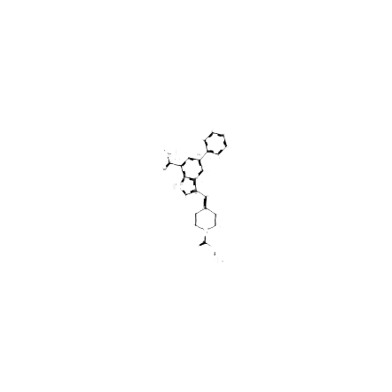 CC(C)(C)OC(=O)N1CCC(=Cc2c[nH]c3c(C(N)=O)cc(-c4ccccc4)cc23)CC1